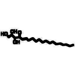 CCCCCCCCCCCCCCC=CC(=O)C(O)C(O)CO